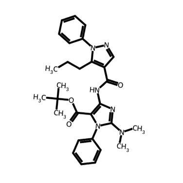 CCCc1c(C(=O)Nc2nc(N(C)C)n(-c3ccccc3)c2C(=O)OC(C)(C)C)cnn1-c1ccccc1